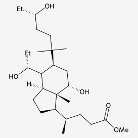 CC[C@H](O)CCC(C)(C)[C@H]1C[C@H](O)[C@]2(C)[C@@H]([C@H](C)CCC(=O)OC)CC[C@H]2C1[C@H](O)CC